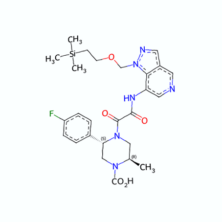 C[C@@H]1CN(C(=O)C(=O)Nc2cncc3cnn(COCC[Si](C)(C)C)c23)[C@@H](c2ccc(F)cc2)CN1C(=O)O